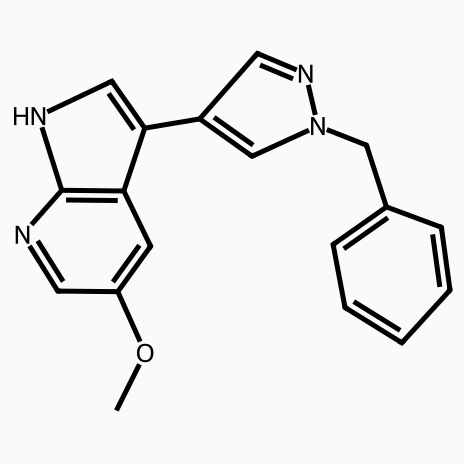 COc1cnc2[nH]cc(-c3cnn(Cc4ccccc4)c3)c2c1